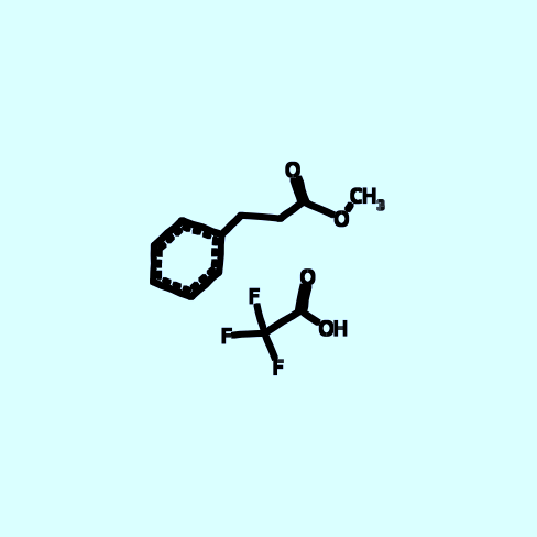 COC(=O)CCc1ccccc1.O=C(O)C(F)(F)F